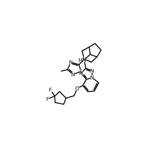 Cc1nsc(N2CC3CCC(C2)C3Nc2nc3c(OCC4CCC(F)(F)C4)cccn3n2)n1